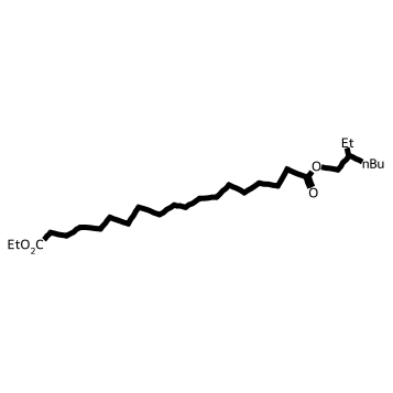 CCCCC(CC)COC(=O)CCCCCCCCCCCCCCCCCC(=O)OCC